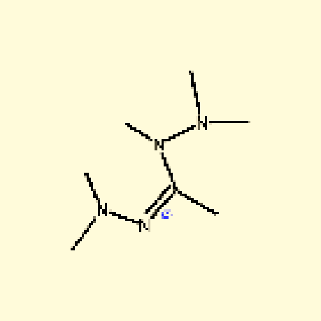 C/C(=N/N(C)C)N(C)N(C)C